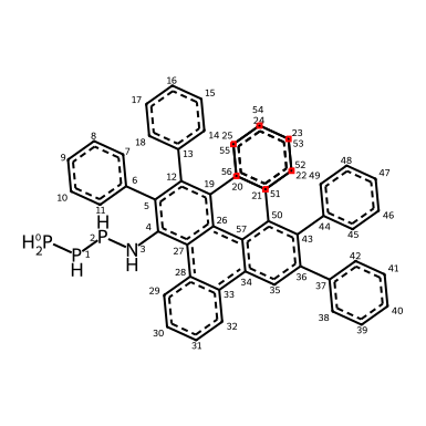 PPPNc1c(-c2ccccc2)c(-c2ccccc2)c(-c2ccccc2)c2c1c1ccccc1c1cc(-c3ccccc3)c(-c3ccccc3)c(-c3ccccc3)c12